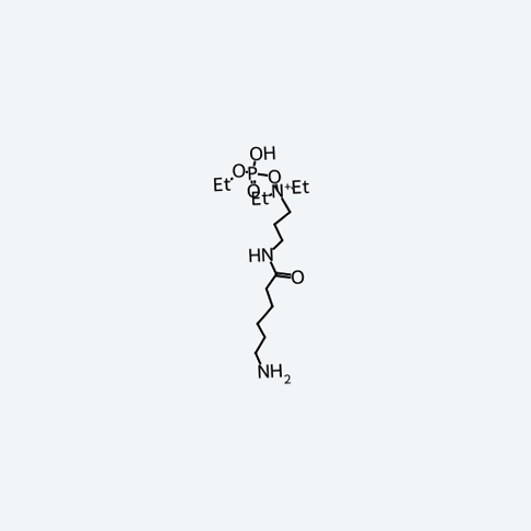 CCOP(=O)(O)O[N+](CC)(CC)CCCNC(=O)CCCCCN